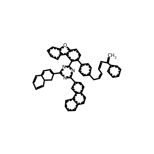 C=C(/C=C\C=C/Cc1ccc(-c2ccc3oc4ccccc4c3c2-c2nc(C3=CC=C4C=CC=CC4C3)nc(-c3ccc4ccc5ccccc5c4c3)n2)cc1)c1ccccc1